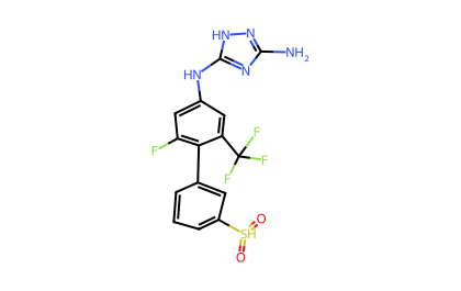 Nc1n[nH]c(Nc2cc(F)c(-c3cccc([SH](=O)=O)c3)c(C(F)(F)F)c2)n1